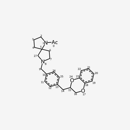 CC(=O)N1CCCC12CCN(Cc1ccc(CC3COc4ccccc4O3)cc1)C2